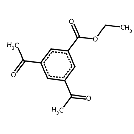 CCOC(=O)c1cc(C(C)=O)cc(C(C)=O)c1